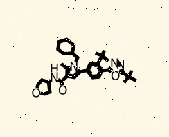 Cc1c(C(=O)NC2CCOCC2)cc(-c2ccc(-c3nnc(C(C)(C)C)o3)c(C(C)(C)C)c2)n1CC1CCCCC1